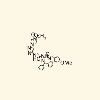 COc1ccc(CN2C(=O)C(NC(=O)CNc3cc(N4CCN([S+](C)[O-])CC4)ncn3)N=C(c3ccccc3)c3ccccc32)cc1